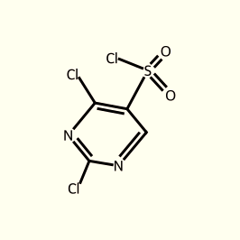 O=S(=O)(Cl)c1cnc(Cl)nc1Cl